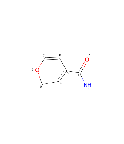 [NH]C(=O)C1=CCOC=C1